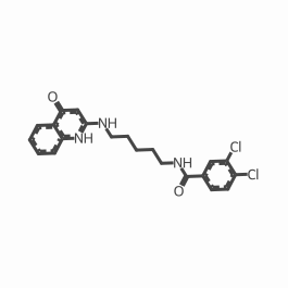 O=C(NCCCCCNc1cc(=O)c2ccccc2[nH]1)c1ccc(Cl)c(Cl)c1